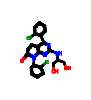 O=c1ccc2c(-c3ccccc3Cl)nc(NC(CO)CO)nc2n1-c1ccccc1Cl